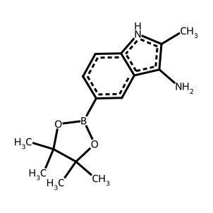 Cc1[nH]c2ccc(B3OC(C)(C)C(C)(C)O3)cc2c1N